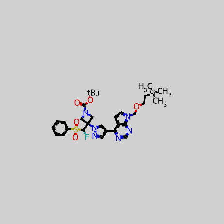 CC(C)(C)OC(=O)N1CC(C(F)S(=O)(=O)c2ccccc2)(n2cc(-c3ncnc4c3ccn4COCC[Si](C)(C)C)cn2)C1